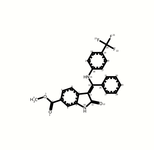 COC(=O)c1ccc2c(c1)NC(=O)/C2=C(/Nc1ccc(C(F)(F)F)cc1)c1ccccc1